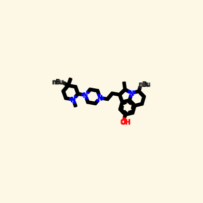 CCCCC1CCc2cc(O)cc3c2N1C(C)C3CCN1CCN(C2CC(C)(CCCC)CCN2C)CC1